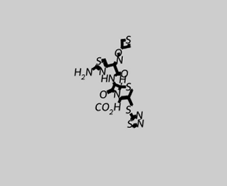 Nc1nc(/C(=N\OC2CSC2)C(=O)NC2C(=O)N3C(C(=O)O)=C(CSc4nncs4)CS[C@H]23)cs1